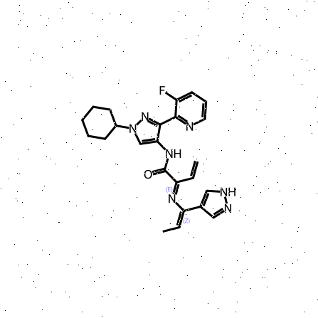 C=C/C(=N\C(=C/C)c1cn[nH]c1)C(=O)Nc1cn(C2CCCCC2)nc1-c1ncccc1F